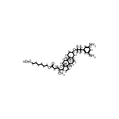 CCCCCCCCCCCCCCCCOC(=O)CC[C@@H](C)[C@H]1CC[C@H]2[C@@H]3CCC4CC(OC(F)(F)C(F)(F)c5cc(N)cc(N)c5)CC[C@]4(C)[C@H]3CC[C@]12C